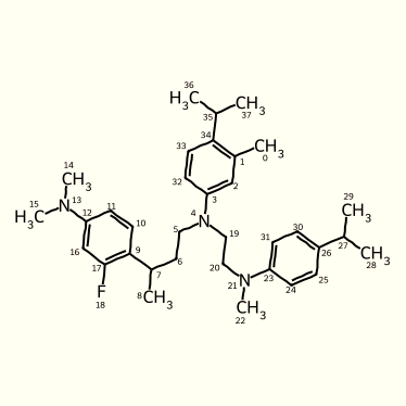 Cc1cc(N(CCC(C)c2ccc(N(C)C)cc2F)CCN(C)c2ccc(C(C)C)cc2)ccc1C(C)C